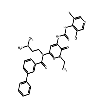 CCn1nc(N(CCN(C)C)C(=O)c2cccc(-c3ccccc3)c2)cc(NC(=O)Nc2c(Cl)cncc2Cl)c1=O